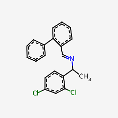 CC(N=Cc1ccccc1-c1ccccc1)c1ccc(Cl)cc1Cl